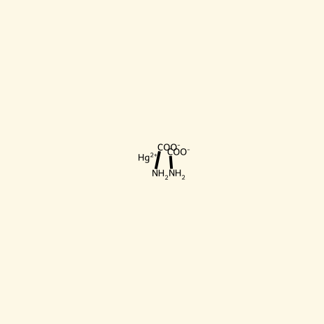 NC(=O)[O-].NC(=O)[O-].[Hg+2]